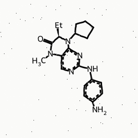 CC[C@@H]1C(=O)N(C)c2cnc(Nc3ccc(N)cc3)nc2N1C1CCCC1